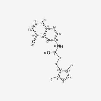 Cc1ccc(C)n1CCC(=O)Nc1ccc2nc[nH]c(=O)c2c1